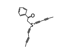 CC#CC#C[S+](C#CC#CC)CC(=O)c1ccccc1